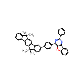 CC1(C)c2ccccc2-c2cc3c(cc21)-c1cc(-c2ccc(-c4nc(-c5ccccc5)nc5c4oc4ccccc45)cc2)ccc1C3(C)C